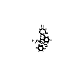 CCNc1c(N2CCCNCC2)cccc1S(=O)(=O)c1ccccc1